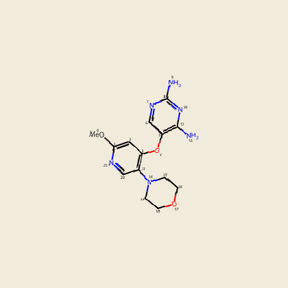 COc1cc(Oc2cnc(N)nc2N)c(N2CCOCC2)cn1